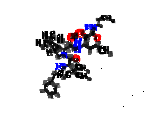 C=CCNC(=O)C(=O)C(CCC)NC(=O)C1[C@H]2[C@@H](CN1C(=O)C(NCCc1ccccc1)C(C)(C)C)C2(C)C